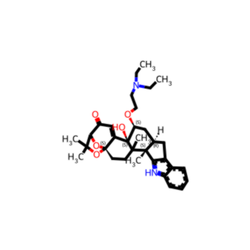 CCN(CC)CCO[C@H]1C[C@H]2Cc3c([nH]c4ccccc34)[C@]2(C)C2(C)CC[C@@]34OC(C(=O)C=C3[C@]12O)C(C)(C)O4